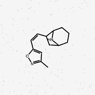 Cc1cc(/C=C\C2CC3CCCC2N3)on1